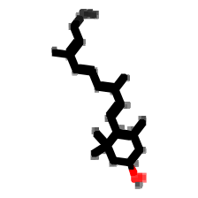 CC(=O)OCC=C(C)C=CC=C(C)C=CC1=C(C)C[C@@H](O)CC1(C)C